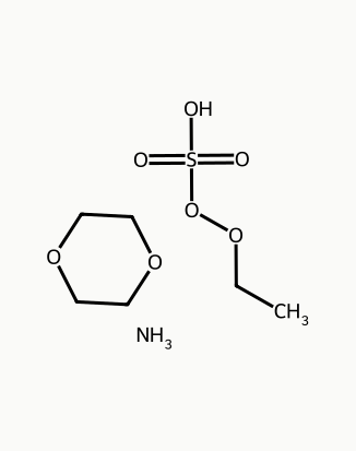 C1COCCO1.CCOOS(=O)(=O)O.N